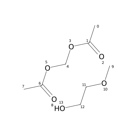 CC(=O)OCOC(C)=O.COCCO